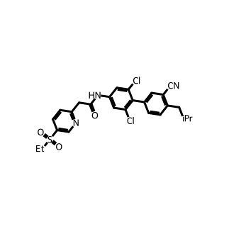 CCS(=O)(=O)c1ccc(CC(=O)Nc2cc(Cl)c(-c3ccc(CC(C)C)c(C#N)c3)c(Cl)c2)nc1